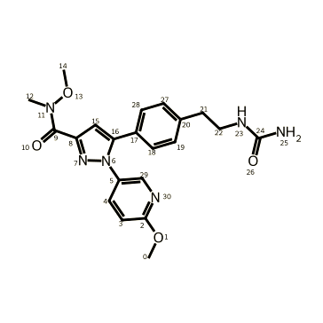 COc1ccc(-n2nc(C(=O)N(C)OC)cc2-c2ccc(CCNC(N)=O)cc2)cn1